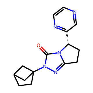 O=c1n(C23CCC(C2)C3)nc2n1[C@H](c1cnccn1)CC2